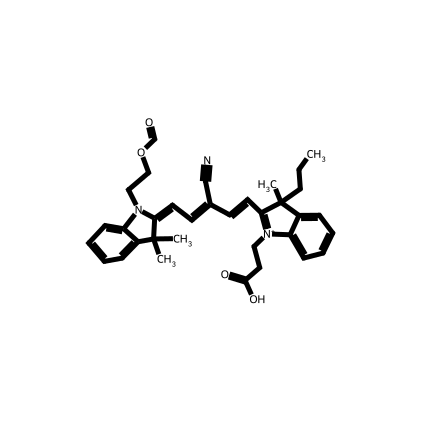 CCCC1(C)C(/C=C/C(C#N)=C/C=C2/N(CCOC=O)c3ccccc3C2(C)C)=[N+](CCC(=O)O)c2ccccc21